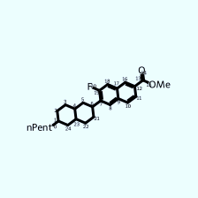 CCCCCC1CCC2CC(c3cc4ccc(C(=O)OC)cc4cc3F)CCC2C1